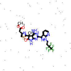 COC(=O)Cc1csc(C2(C)C(=O)Nc3nc(-c4nn(CCC(F)(F)C(F)(F)F)c5ncccc45)nc(N)c32)n1